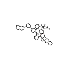 CC1(C)c2ccccc2-c2c(N(c3ccc(-c4cccc(-c5ccc6ccccc6c5)c4)cc3)c3ccccc3-c3cccc4c3oc3cc5ccccc5cc34)cccc21